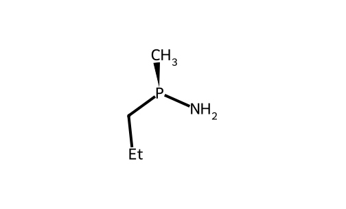 CCC[P@@](C)N